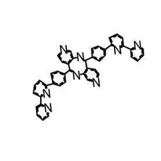 c1ccc(-c2cccc(-c3ccc(/C4=N/c5cnccc5/C(c5ccc(-c6cccc(-c7ccccn7)n6)cc5)=N\c5cnccc54)cc3)n2)nc1